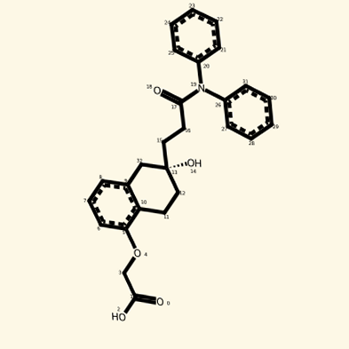 O=C(O)COc1cccc2c1CC[C@](O)(CCC(=O)N(c1ccccc1)c1ccccc1)C2